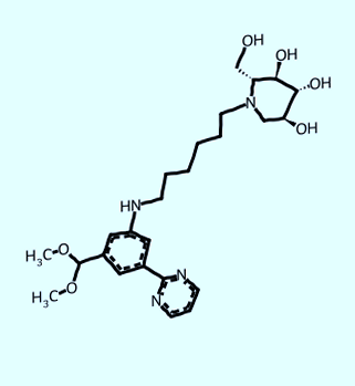 COC(OC)c1cc(NCCCCCCN2C[C@H](O)[C@@H](O)[C@H](O)[C@H]2CO)cc(-c2ncccn2)c1